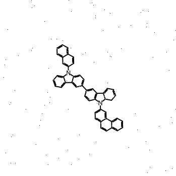 C1=CCC2C(=C1)c1cc(-c3ccc4c(c3)c3ccccc3n4-c3ccc4ccccc4c3)ccc1N2c1ccc2ccc3ccccc3c2c1